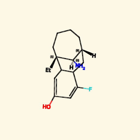 CC[C@]12CCCC[C@H](CC3C(F)=CC(O)=CC31)[C@H]2N